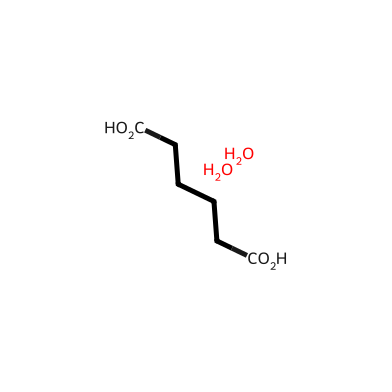 O.O.O=C(O)CCCCC(=O)O